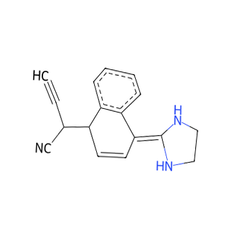 C#CC(C#N)C1C=CC(=C2NCCN2)c2ccccc21